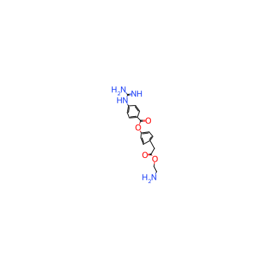 N=C(N)Nc1ccc(C(=O)Oc2ccc(CC(=O)OCCN)cc2)cc1